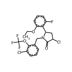 CCOc1cccc(F)c1C1CC(Cl)C(=O)N1Cc1cccc(Cl)c1OC(F)(F)F